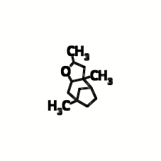 CC1CC2(C)C3CCC(C)(C3)CC2O1